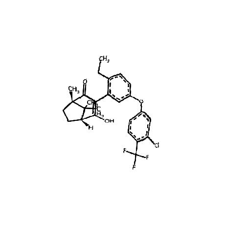 CCc1ccc(Oc2ccc(C(F)(F)F)c(Cl)c2)cc1C1=C(O)[C@@H]2CC[C@](C)(C1=O)C2(C)C